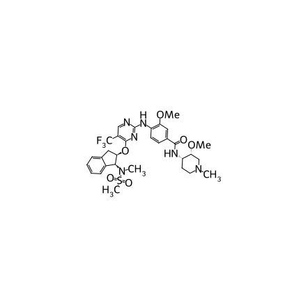 COc1cc(C(=O)N[C@H]2CCN(C)C[C@H]2OC)ccc1Nc1ncc(C(F)(F)F)c(O[C@@H]2Cc3ccccc3[C@@H]2N(C)S(C)(=O)=O)n1